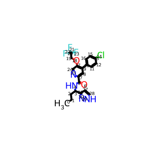 CCCC(NC(=O)c1cc(-c2ccc(Cl)cc2)c(OCC(F)(F)F)cn1)c1cc[nH]n1